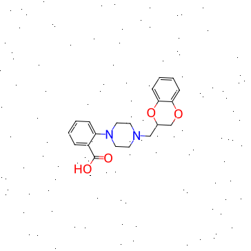 O=C(O)c1ccccc1N1CCN(CC2COc3ccccc3O2)CC1